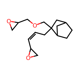 C(=C/C1CO1)/CC1(COCC2CO2)CC2CCC1C2